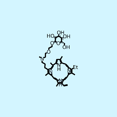 C=Cc1c(C)c2cc3nc(c(C)c4cc(C)c(cc5nc(cc1[nH]2)C(C)=C5CC)[nH]4)C(CCCN(C)CCOCCO[C@@H]1O[C@H](CO)[C@@H](O)[C@H](O)[C@H]1O)=C3C